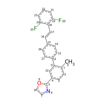 Cc1ccc(-c2ncco2)cc1-c1ccc(/C=C/c2c(F)cccc2F)cc1